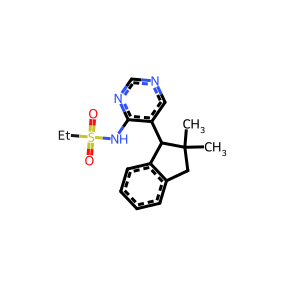 CCS(=O)(=O)Nc1ncncc1C1c2ccccc2CC1(C)C